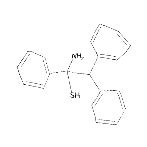 NC(S)(c1ccccc1)C(c1ccccc1)c1ccccc1